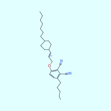 CCCCCCCC1CCC(/C=C/COc2ccc(CCCCC)c(C#N)c2C#N)CC1